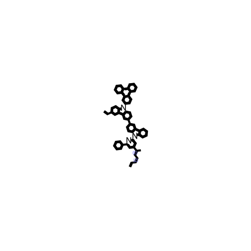 C=C/C=C\C=C(/C)c1cc(-c2ccccc2)nc(-n2c3ccccc3c3cc(-c4ccc5c(c4)c4cc(C=C)ccc4n5-c4ccc5c6ccccc6c6ccccc6c5c4)ccc32)c1